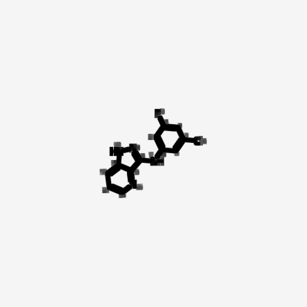 Fc1cc(Cl)cc(Nc2n[nH]c3cccnc23)c1